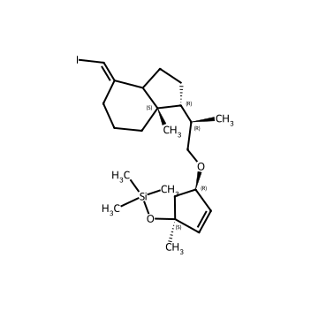 C[C@@H](CO[C@H]1C=C[C@@](C)(O[Si](C)(C)C)C1)[C@H]1CCC2C(=CI)CCC[C@]21C